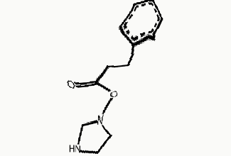 O=C(CCc1ccccc1)ON1CCNC1